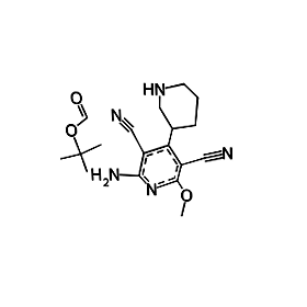 CC(C)(C)OC=O.COc1nc(N)c(C#N)c(C2CCCNC2)c1C#N